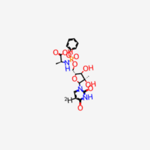 [2H]c1cn(C2O[C@H](COP(=O)(N[C@@H](C)C(=O)O)Oc3ccccc3)[C@@H](O)[C@@]2(C)O)c(=O)[nH]c1=O